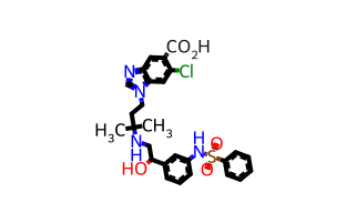 CC(C)(CCn1cnc2cc(C(=O)O)c(Cl)cc21)NCC(O)c1cccc(NS(=O)(=O)c2ccccc2)c1